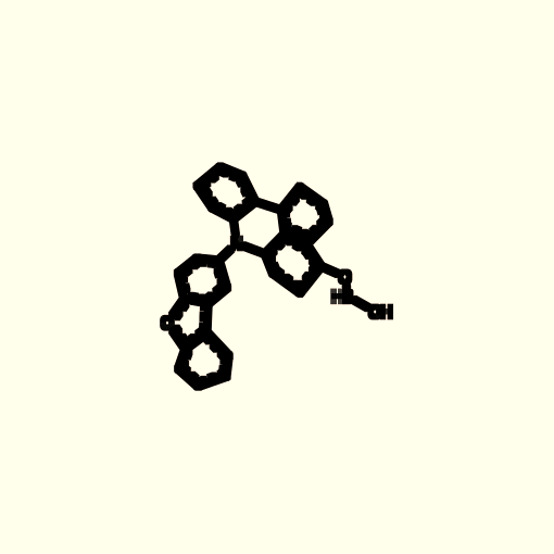 OBOc1ccc(N(c2ccc3oc4ccccc4c3c2)c2ccccc2-c2ccccc2)cc1